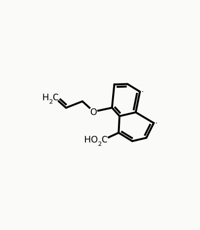 C=CCOc1cc[c]c2[c]ccc(C(=O)O)c12